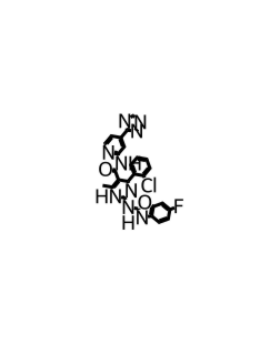 CC1=C(C(=O)Nc2cc(C3=NCN=N3)ccn2)C(c2ccccc2Cl)N=C(Nc2nc3ccc(F)cc3o2)N1